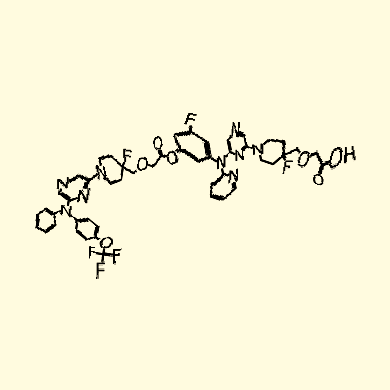 O=C(O)COCC1(F)CCN(c2cncc(N(c3cc(F)cc(OC(=O)COCC4(F)CCN(c5cncc(N(c6ccccc6)c6ccc(OC(F)(F)F)cc6)n5)CC4)c3)c3ccccn3)n2)CC1